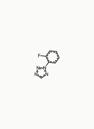 Fc1ccccc1-n1ncnn1